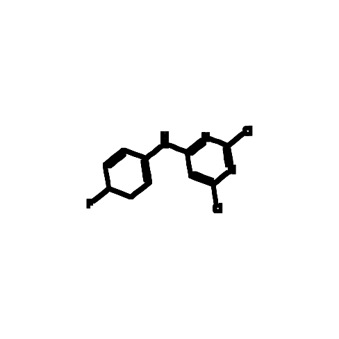 FC1C=CC(Nc2cc(Cl)nc(Cl)n2)=CC1